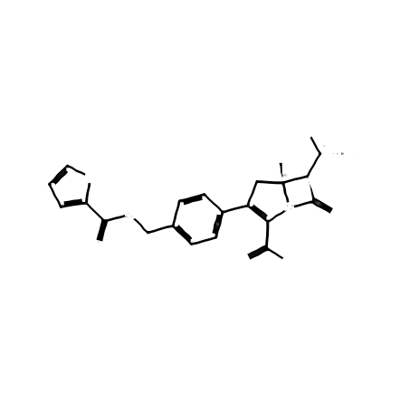 C[C@@H](O)[C@H]1C(=O)N2C(C(=O)O)=C(c3ccc(CNC(=O)c4ccco4)cc3)C[C@H]12